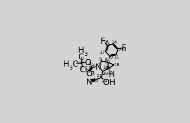 CC(C)(C)OC(=O)N1C[C@@]2(c3cc(F)cc(F)c3)C[C@H]2C1C(O)C#N